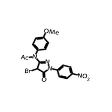 COc1ccc(N(C(C)=O)C2=NN(c3ccc([N+](=O)[O-])cc3)C(=O)C2Br)cc1